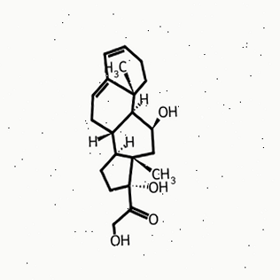 C[C@]12CCC=CC1=CC[C@@H]1[C@@H]2[C@@H](O)C[C@@]2(C)[C@H]1CC[C@]2(O)C(=O)CO